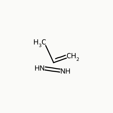 C=CC.N=N